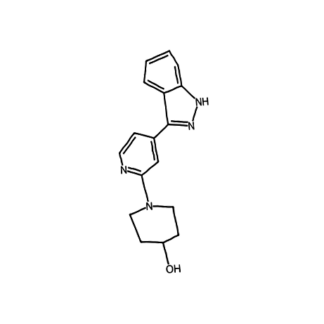 OC1CCN(c2cc(-c3n[nH]c4ccccc34)ccn2)CC1